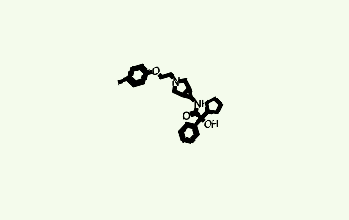 Cc1ccc(OCCN2CC3C(C2)C3NC(=O)C(O)(c2ccccc2)C2CCCC2)cc1